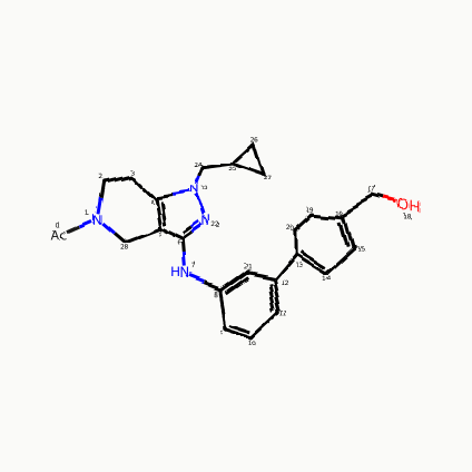 CC(=O)N1CCc2c(c(Nc3cccc(C4=CC=C(CO)CC4)c3)nn2CC2CC2)C1